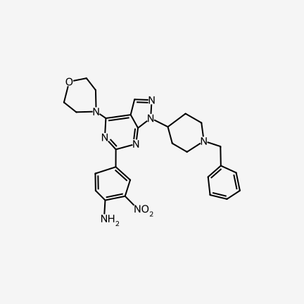 Nc1ccc(-c2nc(N3CCOCC3)c3cnn(C4CCN(Cc5ccccc5)CC4)c3n2)cc1[N+](=O)[O-]